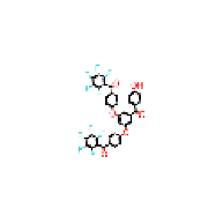 O=C(c1ccc(O)cc1)c1cc(Oc2ccc(C(=O)c3c(F)c(F)c(F)c(F)c3F)cc2)cc(Oc2ccc(C(=O)c3c(F)c(F)c(F)c(F)c3F)cc2)c1